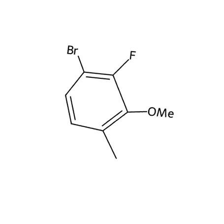 COc1c(C)ccc(Br)c1F